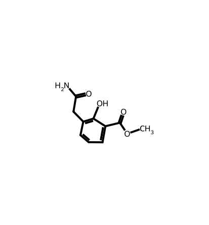 COC(=O)c1cccc(CC(N)=O)c1O